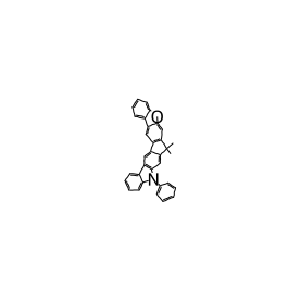 CC1(C)c2cc3oc4ccccc4c3cc2-c2cc3c4ccccc4n(-c4ccccc4)c3cc21